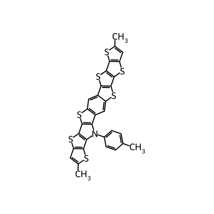 Cc1ccc(-n2c3c4cc5sc6c(sc7c8sc(C)cc8sc76)c5cc4sc3c3sc4cc(C)sc4c32)cc1